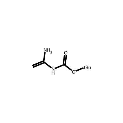 C=C(N)NC(=O)OC(C)(C)C